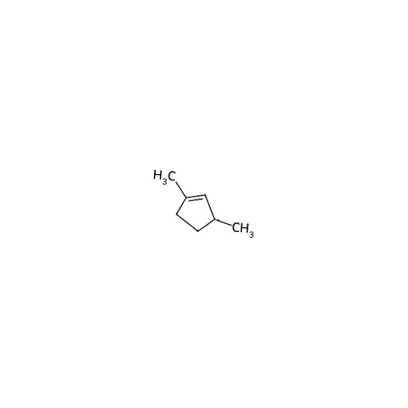 C[C]1C=C(C)CC1